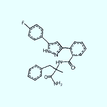 CC(Cc1ccccc1)(NC(=O)c1ccccc1-c1cc(-c2ccc(F)cc2)[nH]n1)C(N)=O